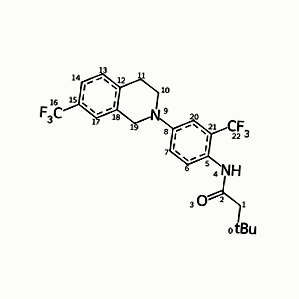 CC(C)(C)CC(=O)Nc1ccc(N2CCc3ccc(C(F)(F)F)cc3C2)cc1C(F)(F)F